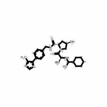 Cc1ncsc1-c1ccc(CNC(=O)[C@@H]2C[C@@H](O)CN2C(=O)[C@@H](NC(O)C2CCCCC2)C(C)(C)C)cc1